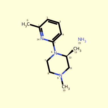 Cc1cccc(N2CCN(C)C[C@@H]2C)n1.N